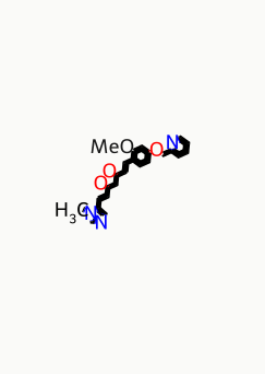 COc1cc(OCc2ccccn2)ccc1C=CC(=O)CC(=O)C=Cc1cncn1C